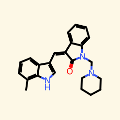 Cc1cccc2c(C=C3C(=O)N(CN4CCCCC4)c4ccccc43)c[nH]c12